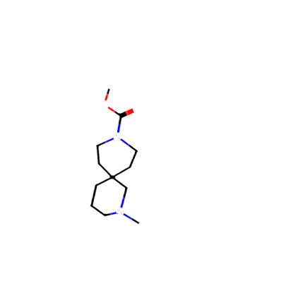 CN1CCCC2(CCN(C(=O)OC(C)(C)C)CC2)C1